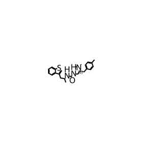 Cc1ccc(C[C@@H](CNC(=O)NC(C)Cc2csc3ccccc23)N(C)C)cc1